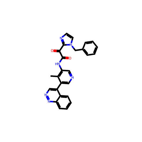 Cc1c(NC(=O)C(=O)c2nccn2Cc2ccccc2)cncc1-c1cnnc2ccccc12